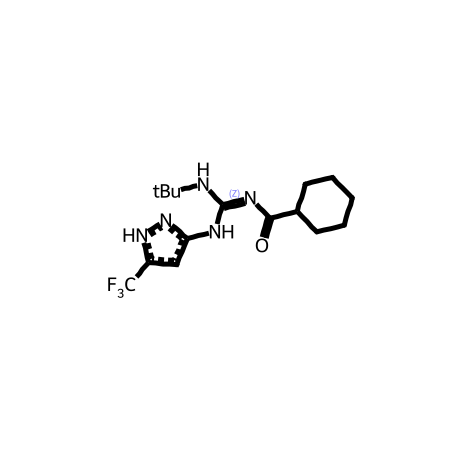 CC(C)(C)N/C(=N/C(=O)C1CCCCC1)Nc1cc(C(F)(F)F)[nH]n1